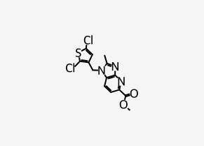 COC(=O)c1ccc2c(n1)nc(C)n2Cc1cc(Cl)sc1Cl